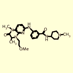 COCCN1c2nc(Nc3cccc(C(=O)NC4CCN(C)CC4)c3)ccc2N(C)C(=O)C1C